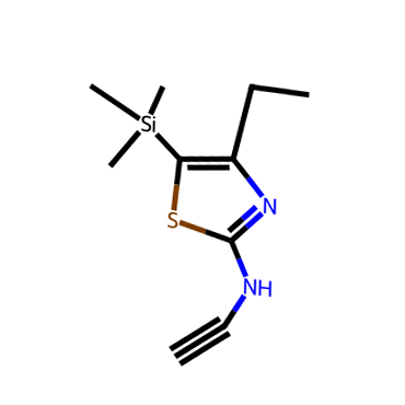 C#CNc1nc(CC)c([Si](C)(C)C)s1